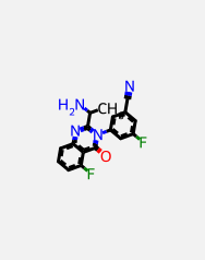 CC(N)c1nc2cccc(F)c2c(=O)n1-c1cc(F)cc(C#N)c1